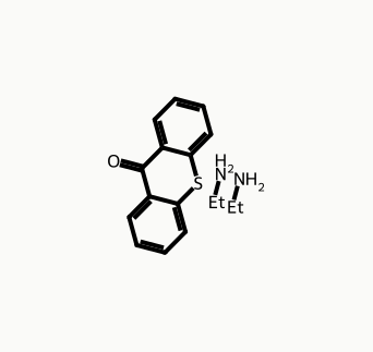 CCN.CCN.O=c1c2ccccc2sc2ccccc12